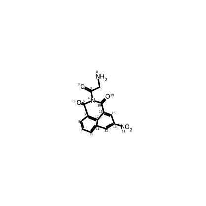 NCC(=O)N1C(=O)c2cccc3cc([N+](=O)[O-])cc(c23)C1=O